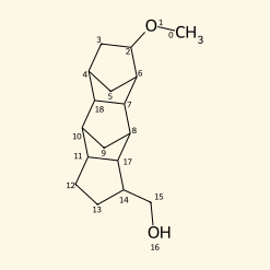 COC1CC2CC1C1C3CC(C4CCC(CO)C43)C21